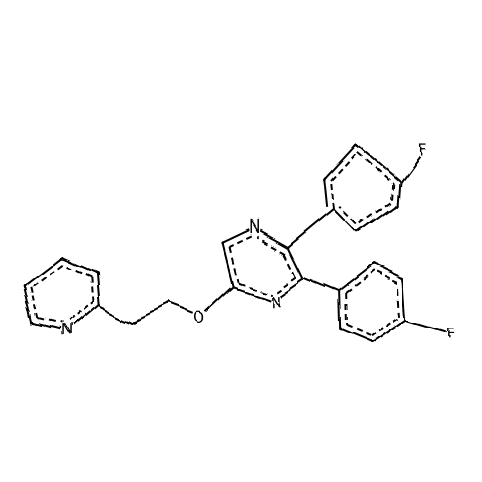 Fc1ccc(-c2ncc(OCCc3ccccn3)nc2-c2ccc(F)cc2)cc1